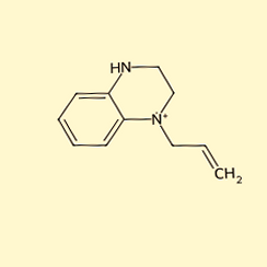 C=CC[N+]1CCNc2ccccc21